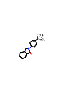 CCCCC(C(=O)O)c1ccc(N2Cc3ccccc3C2=O)cc1